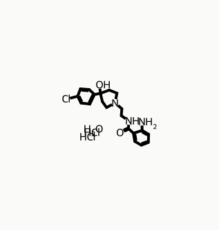 Cl.Cl.Nc1ccccc1C(=O)NCCN1CCC(O)(c2ccc(Cl)cc2)CC1.O